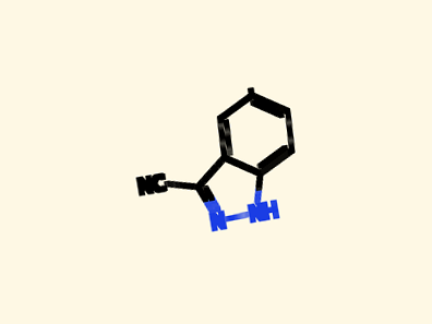 N#Cc1n[nH]c2cc[c]cc12